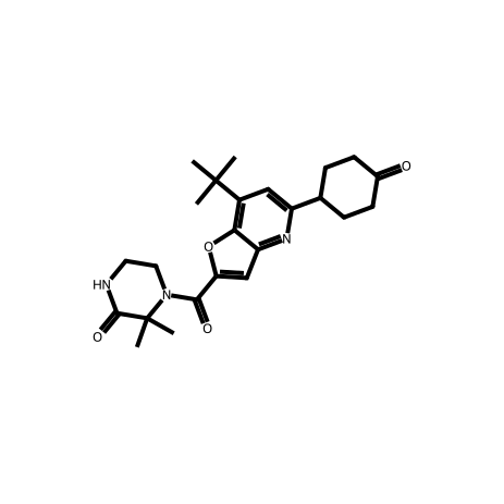 CC(C)(C)c1cc(C2CCC(=O)CC2)nc2cc(C(=O)N3CCNC(=O)C3(C)C)oc12